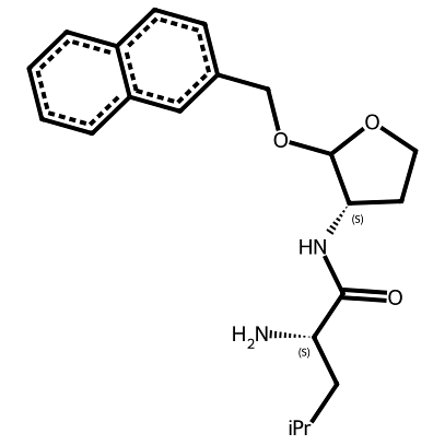 CC(C)C[C@H](N)C(=O)N[C@H]1CCOC1OCc1ccc2ccccc2c1